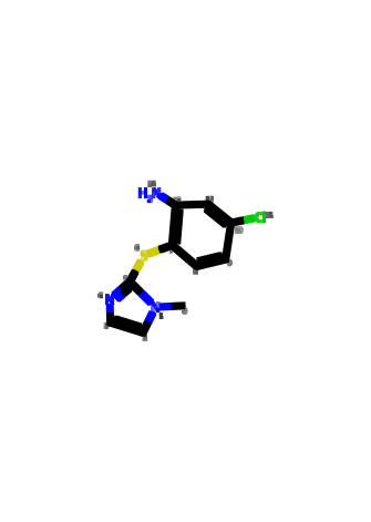 Cn1ccnc1Sc1ccc(Cl)cc1N